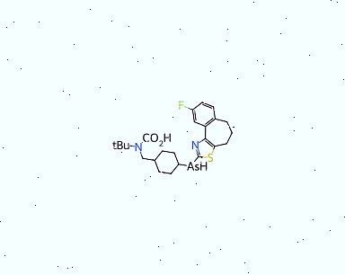 CC(C)(C)N(CC1CCC([AsH]c2nc3c(s2)CCCc2ccc(F)cc2-3)CC1)C(=O)O